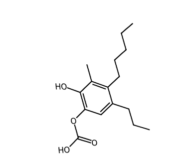 CCCCCc1c(CCC)cc(OC(=O)O)c(O)c1C